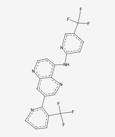 FC(F)(F)c1ccc(Nc2ccnc3cc(-c4ncccc4C(F)(F)F)cnc23)nc1